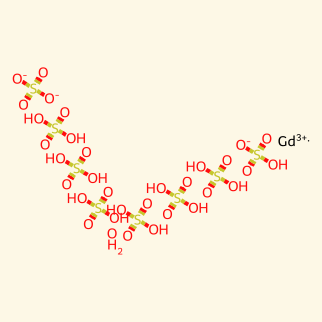 O.O=S(=O)(O)O.O=S(=O)(O)O.O=S(=O)(O)O.O=S(=O)(O)O.O=S(=O)(O)O.O=S(=O)(O)O.O=S(=O)([O-])O.O=S(=O)([O-])[O-].[Gd+3]